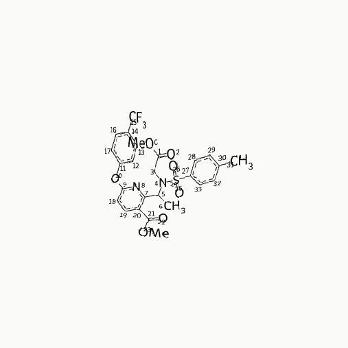 COC(=O)CN(C(C)c1nc(Oc2ccc(C(F)(F)F)cc2)ccc1C(=O)OC)S(=O)(=O)c1ccc(C)cc1